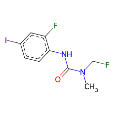 CN(CF)C(=O)Nc1ccc(I)cc1F